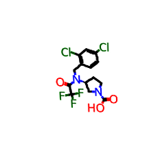 O=C(O)N1CC[C@H](N(Cc2ccc(Cl)cc2Cl)C(=O)C(F)(F)F)C1